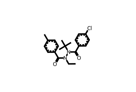 CCN(C(=O)c1ccc(C)cc1)N(C(=O)c1ccc(Cl)cc1)C(C)(C)C